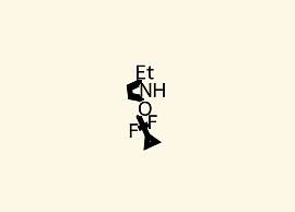 CCc1ccc(OCC(F)(F)C2CC2)[nH]1